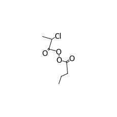 CCCC(=O)OOC(=O)C(C)Cl